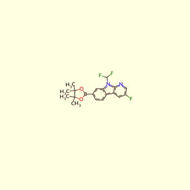 CC1(C)OB(c2ccc3c4cc(F)cnc4n(C(F)F)c3c2)OC1(C)C